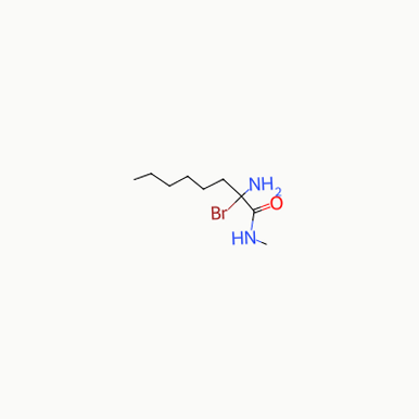 CCCCCCC(N)(Br)C(=O)NC